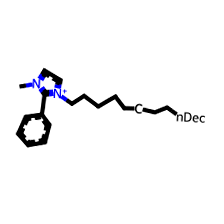 CCCCCCCCCCCCCCCCCC[n+]1ccn(C)c1-c1ccccc1